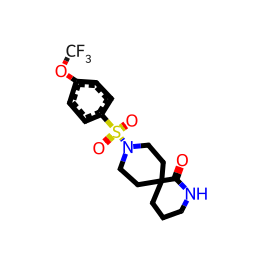 O=C1NCCCC12CCN(S(=O)(=O)c1ccc(OC(F)(F)F)cc1)CC2